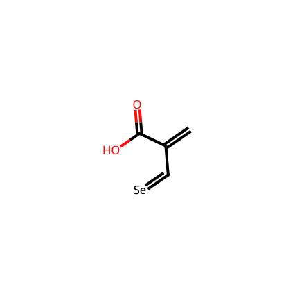 C=C(C=[Se])C(=O)O